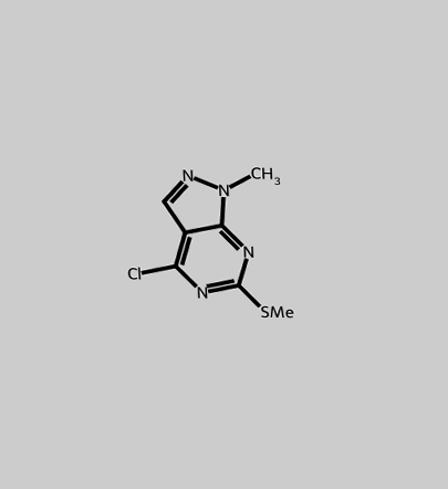 CSc1nc(Cl)c2cnn(C)c2n1